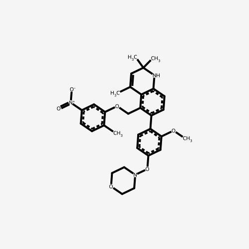 COc1cc(ON2CCOCC2)ccc1-c1ccc2c(c1COc1cc([N+](=O)[O-])ccc1C)C(C)=CC(C)(C)N2